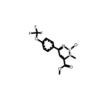 COC(=O)C1=CC(c2ccc(OC(F)(F)F)cc2)=N[S+]([O-])N1C